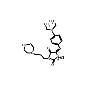 CCN(CC)c1ccc(/C=C2/NC(=O)N(CCCN3CCNCC3)C2=O)cc1.Cl